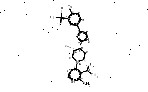 CC(C)c1c(N)ncnc1N1CC[C@@H](c2nc(-c3ccc(F)c(C(F)(F)F)c3)c[nH]2)[C@@H](F)C1